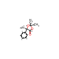 CCCC1(c2ccccc2)OC(C)(C)OC1=O